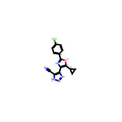 N#Cc1[nH]nnc1-c1nc(-c2ccc(Cl)cc2)oc1C1CC1